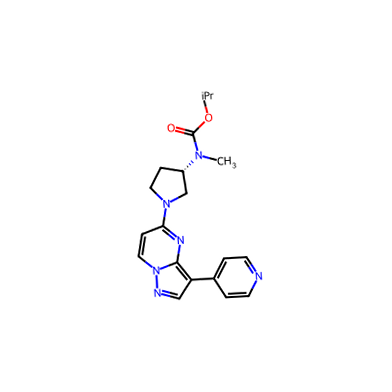 CC(C)OC(=O)N(C)[C@H]1CCN(c2ccn3ncc(-c4ccncc4)c3n2)C1